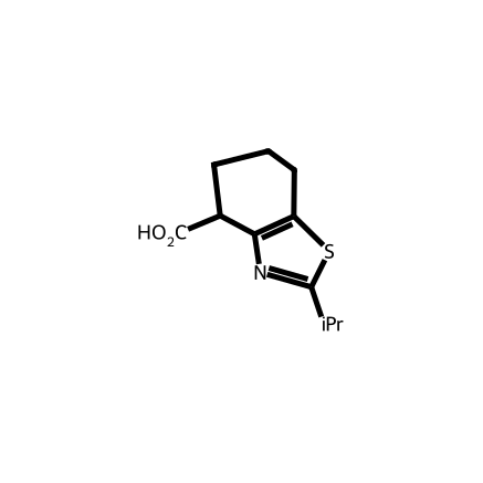 CC(C)c1nc2c(s1)CCCC2C(=O)O